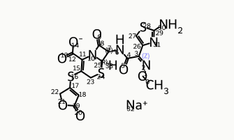 CO/N=C(\C(=O)N[C@@H]1C(=O)N2C(C(=O)[O-])=C(SC3=CC(=O)OC3)CS[C@H]12)c1csc(N)n1.[Na+]